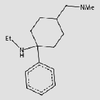 CCNC1(c2ccccc2)CCC(CNC)CC1